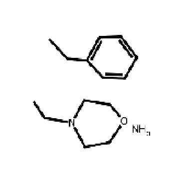 CCN1CCOCC1.CCc1ccccc1.N